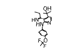 CCC(=N)c1c(C(C)(C)O)ccnc1Nc1ccc(OC(C)(F)F)cc1